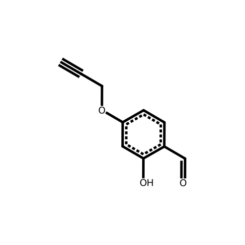 C#CCOc1ccc(C=O)c(O)c1